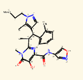 COCCn1ncc([C@@H](c2ccccc2C#N)[C@H](C)c2nc(C(=O)Nc3cnoc3)c(O)c(=O)n2C)c1C